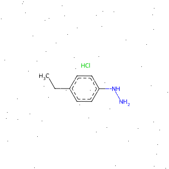 CCc1ccc(NN)cc1.Cl